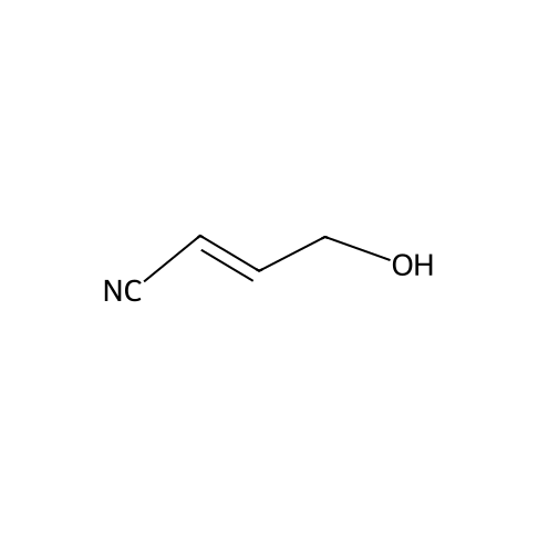 N#CC=CCO